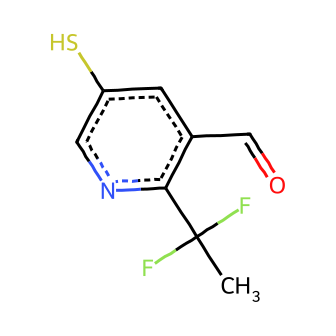 CC(F)(F)c1ncc(S)cc1C=O